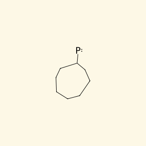 [P]C1CCCCCCC1